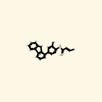 CC=CC(=O)Oc1ccc(-c2cccc3c2Cc2ccccc2-3)cc1C